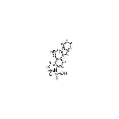 CCCOc1c(-c2cc3ccccn3n2)ccc2c1CC[C@H](C)N2C(C)O